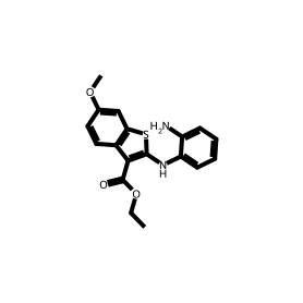 CCOC(=O)c1c(Nc2ccccc2N)sc2cc(OC)ccc12